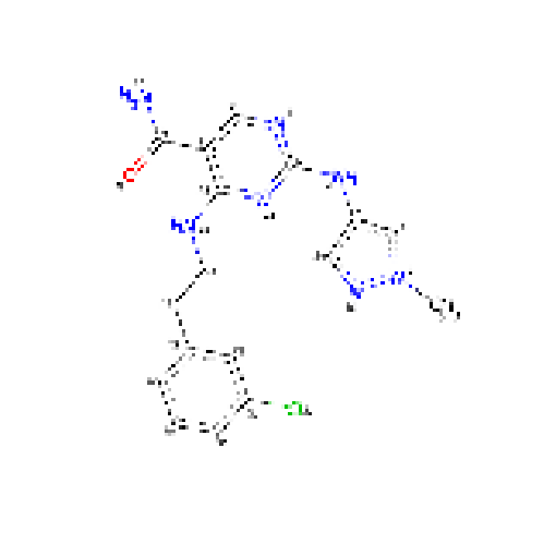 Cn1cc(Nc2ncc(C(N)=O)c(NCCc3cccc(Cl)c3)n2)cn1